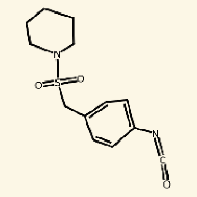 O=C=Nc1ccc(CS(=O)(=O)N2CCCCC2)cc1